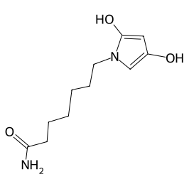 NC(=O)CCCCCCn1cc(O)cc1O